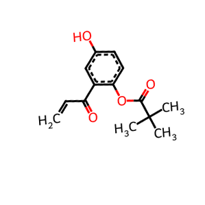 C=CC(=O)c1cc(O)ccc1OC(=O)C(C)(C)C